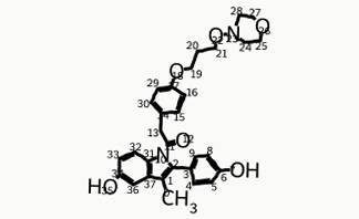 Cc1c(-c2ccc(O)cc2)n(C(=O)Cc2ccc(OCCCON3CCOCC3)cc2)c2ccc(O)cc12